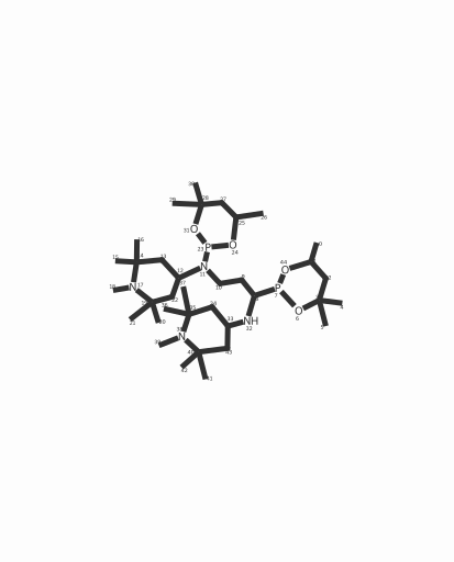 CC1CC(C)(C)OP(C(CCN(C2CC(C)(C)N(C)C(C)(C)C2)P2OC(C)CC(C)(C)O2)NC2CC(C)(C)N(C)C(C)(C)C2)O1